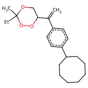 C=C(c1ccc(C2CCCCCCC2)cc1)C1COC(C)(CC)OO1